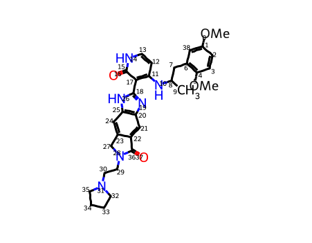 COc1ccc(OC)c(CC(C)Nc2cc[nH]c(=O)c2-c2nc3cc4c(cc3[nH]2)CN(CCN2CCCC2)C4=O)c1